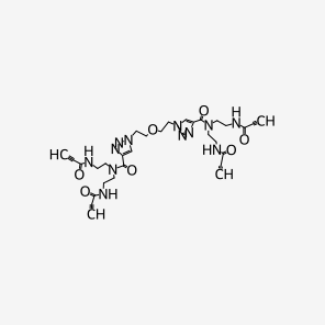 C#CC(=O)NCCN(CCNC(=O)C#C)C(=O)c1cn(CCOCCn2cc(C(=O)N(CCNC(=O)C#C)CCNC(=O)C#C)nn2)nn1